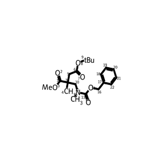 COC(=O)C(C)(CC(=O)OC(C)(C)C)CN(C)C(=O)OCc1ccccc1